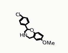 COc1ccc2c(c1)CNCC(c1ccc(Cl)cc1)O2